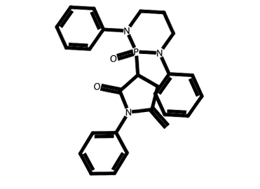 C=C1CC(P2(=O)N(c3ccccc3)CCCN2c2ccccc2)C(=O)N1c1ccccc1